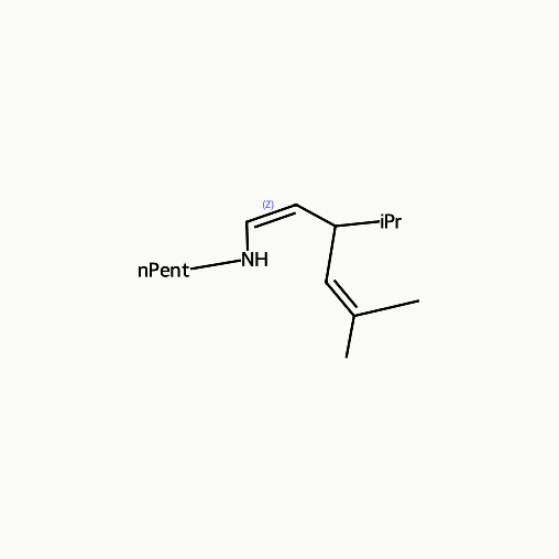 CCCCCN/C=C\C(C=C(C)C)C(C)C